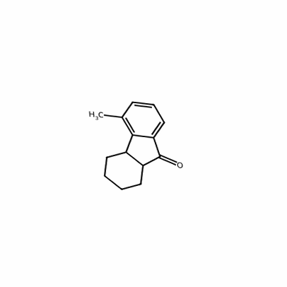 Cc1cccc2c1C1CCCCC1C2=O